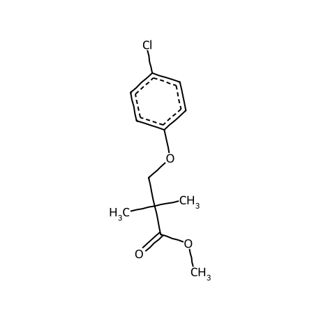 COC(=O)C(C)(C)COc1ccc(Cl)cc1